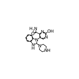 NC(=O)c1nc(O)ncc1N1c2ccccc2NC1N1CCNCC1